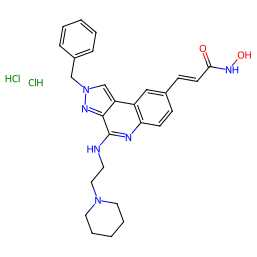 Cl.Cl.O=C(/C=C/c1ccc2nc(NCCN3CCCCC3)c3nn(Cc4ccccc4)cc3c2c1)NO